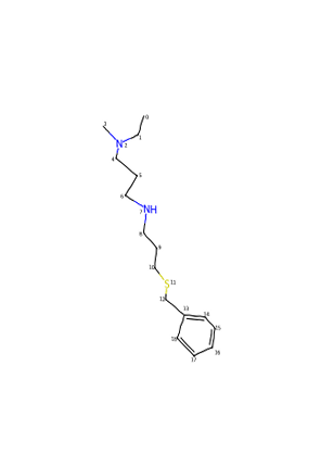 CCN(C)CCCNCCCSCc1ccccc1